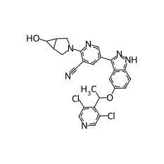 CC(Oc1ccc2[nH]nc(-c3cnc(N4CC5C(O)C5C4)c(C#N)c3)c2c1)c1c(Cl)cncc1Cl